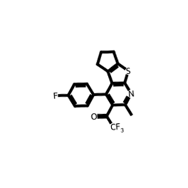 Cc1nc2sc3c(c2c(-c2ccc(F)cc2)c1C(=O)C(F)(F)F)CCC3